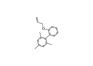 C=CCOc1ccccc1-c1c(C)cc(C)cc1C